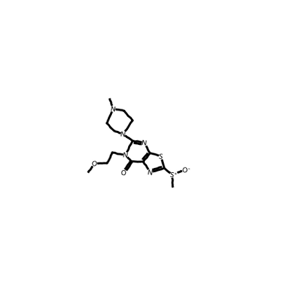 COCCn1c(N2CCN(C)CC2)nc2sc([S+](C)[O-])nc2c1=O